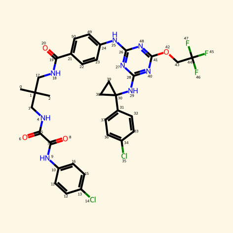 CC(C)(CNC(=O)C(=O)Nc1ccc(Cl)cc1)CNC(=O)c1ccc(Nc2nc(NC3(c4ccc(Cl)cc4)CC3)nc(OCC(F)(F)F)n2)cc1